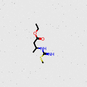 CCOC(=O)CC(C)NC(=N)SC